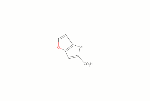 O=C(O)c1cc2occc2[se]1